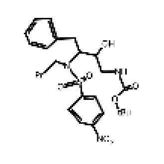 CC(C)CN(C(Cc1ccccc1)C(O)CNC(=O)OC(C)(C)C)S(=O)(=O)c1ccc([N+](=O)[O-])cc1